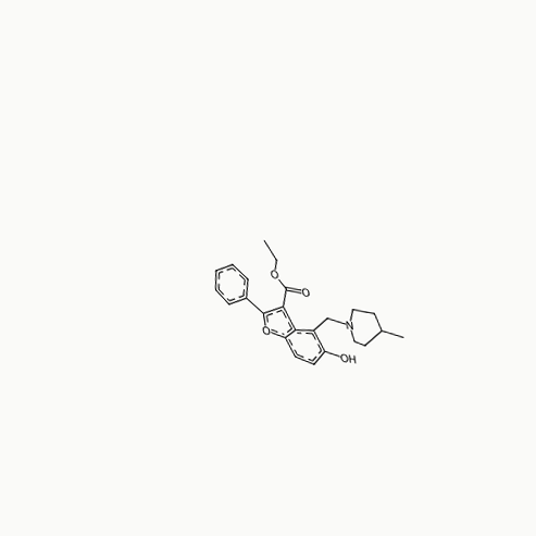 CCOC(=O)c1c(-c2ccccc2)oc2ccc(O)c(CN3CCC(C)CC3)c12